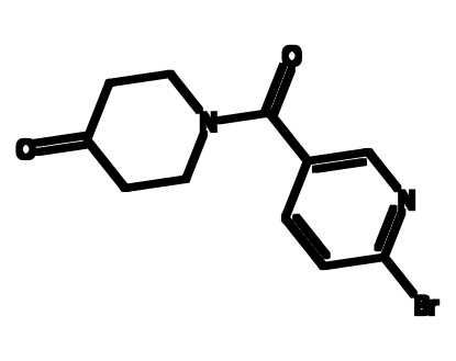 O=C1CCN(C(=O)c2ccc(Br)nc2)CC1